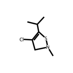 CC(C)C1=C(Cl)CN(C)S1